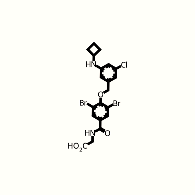 O=C(O)CNC(=O)c1cc(Br)c(OCc2cc(Cl)cc(NC3CCC3)c2)c(Br)c1